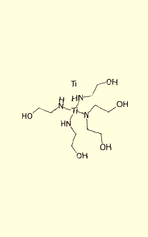 OCC[NH][Ti]([NH]CCO)([NH]CCO)[N](CCO)CCO.[Ti]